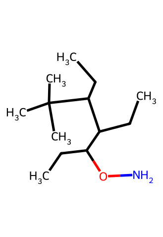 CCC(ON)C(CC)C(CC)C(C)(C)C